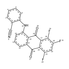 N#Cc1ccccc1Nc1cccc2c1C(=O)c1c(F)c(F)cc(F)c1C2=O